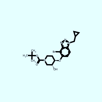 CC(C)(C)OC(=O)N1CC[C@@H](Oc2ccc3c(nnn3CC3CC3)c2Br)[C@H](O)C1